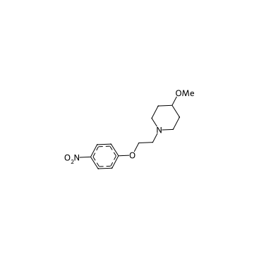 COC1CCN(CCOc2ccc([N+](=O)[O-])cc2)CC1